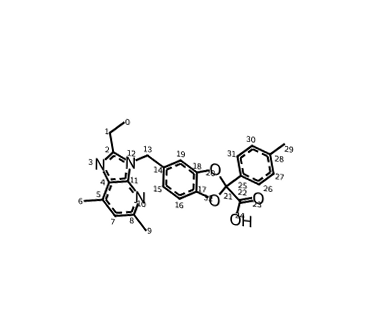 CCc1nc2c(C)cc(C)nc2n1Cc1ccc2c(c1)OC(C(=O)O)(c1ccc(C)cc1)O2